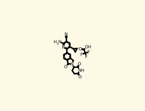 N#Cc1cc(C2CC2)c(-c2ccc3c(c2)CN(C2CCC(=O)NC2=O)C3=O)nc1N.O=C(O)C(F)(F)F